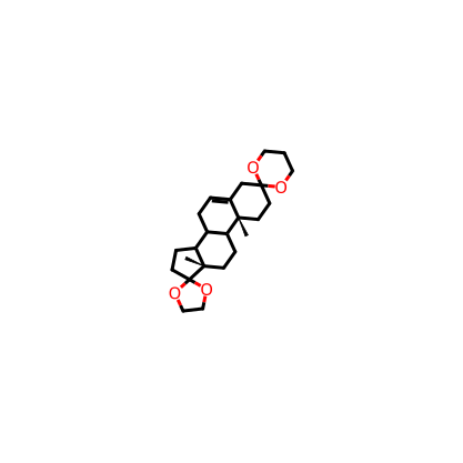 C[C@]12CCC3(CC1=CCC1C2CC[C@@]2(C)C1CCC21OCCO1)OCCCO3